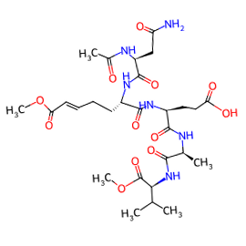 COC(=O)/C=C/CC[C@H](NC(=O)[C@H](CC(N)=O)NC(C)=O)C(=O)N[C@@H](CCC(=O)O)C(=O)N[C@@H](C)C(=O)N[C@H](C(=O)OC)C(C)C